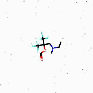 CCN(C)CC(OC=O)(C(F)(F)F)C(F)(F)F